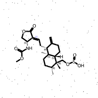 C=C1CC[C@@H]2[C@](C)(COS(=O)O)[C@H](C)CC[C@@]2(C)[C@@H]1C/C=C1/C(=O)OC[C@H]1NC(=O)OC